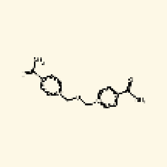 NC(=O)c1cc[n+](COC[n+]2ccc(C(N)=O)cc2)cc1